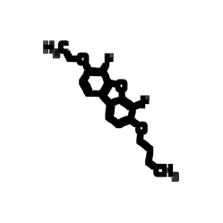 CCCCOc1ccc2c(oc3c(F)c(OCC)ccc32)c1F